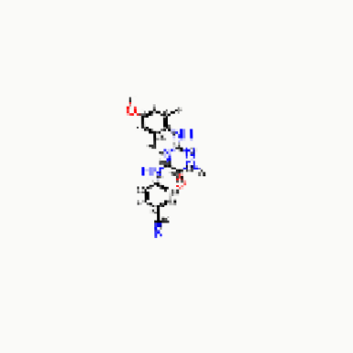 COc1cc(C)c(Nc2nc(Nc3ccc(C#N)cc3)c(=O)n(C)n2)c(C)c1